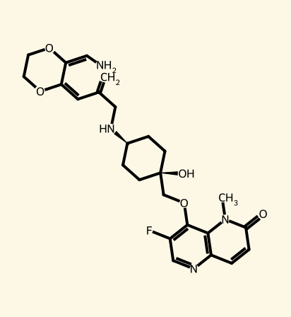 C=C(/C=C1/OCCO/C1=C/N)CN[C@H]1CC[C@](O)(COc2c(F)cnc3ccc(=O)n(C)c23)CC1